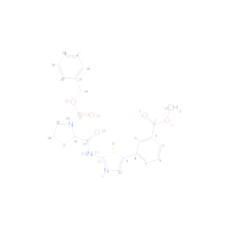 COC(=O)c1cccc(-c2cnc(NC(=O)C3CCCN3C(=O)OCc3ccccc3)s2)c1